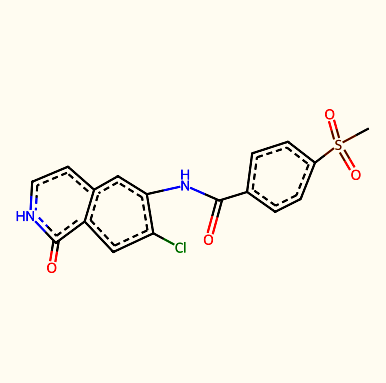 CS(=O)(=O)c1ccc(C(=O)Nc2cc3cc[nH]c(=O)c3cc2Cl)cc1